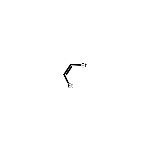 [CH2]C/C=C\CC